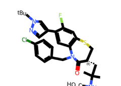 CC(C)(C[C@H]1CSc2cc(F)c(-c3cnn(C(C)(C)C)c3)cc2N(Cc2ccc(Cl)cc2)C1=O)NC(=O)O